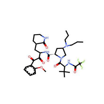 CCCN(CCC)[C@@H]1C[C@@H](C(=O)NC(CC2CCCNC2=O)C(=O)C(=O)c2ccccc2OC)N(C(=O)[C@@H](NC(=O)C(F)(F)F)C(C)(C)C)C1